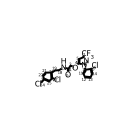 O=C(COc1cc(C(F)(F)F)nn1-c1ccccc1Cl)NCCc1ccc(Cl)cc1Cl